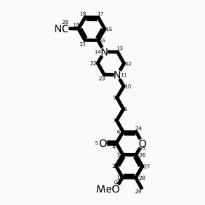 COc1cc2c(=O)c(CCCCN3CCN(c4cccc(C#N)c4)CC3)coc2cc1C